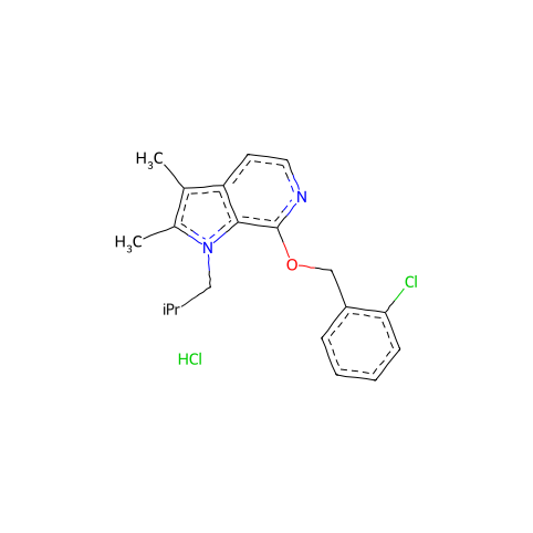 Cc1c(C)n(CC(C)C)c2c(OCc3ccccc3Cl)nccc12.Cl